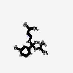 C=C(/C=C/OC(C)(OC(C)N)c1cccc(Cl)c1)CC